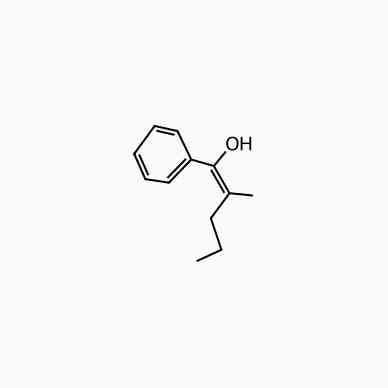 CCCC(C)=C(O)c1ccccc1